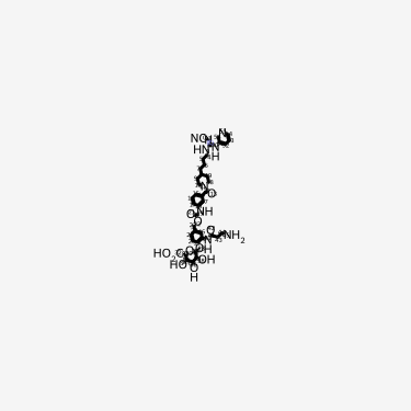 N#C/N=C(\NCCCCC1CCN(C(=O)c2cccc(NC(=O)OCc3ccc(O[C@@H]4O[C@H](C(=O)O)[C@@H](O)[C@H](O)[C@H]4O)c(NC(=O)CCN)c3)c2)CC1)Nc1cccnc1